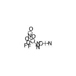 COc1cc(-c2cnc3cc(C(C)(C)C#N)ccn23)cc(OC(F)F)c1C(=O)N1CCC(OC)CC1